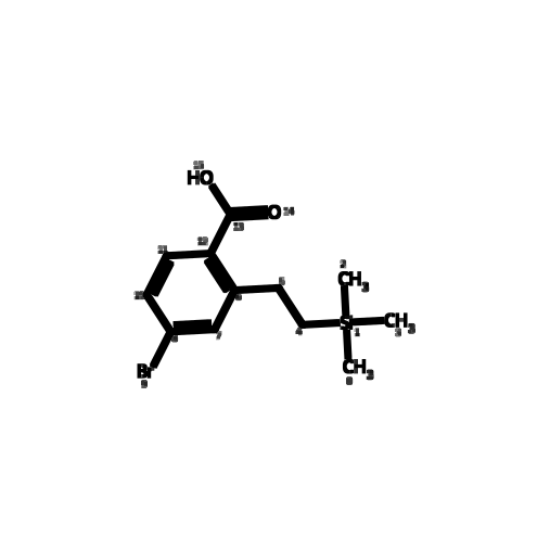 C[Si](C)(C)CCc1cc(Br)ccc1C(=O)O